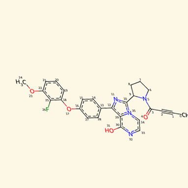 CC#CC(=O)N1CCCC1c1nc(-c2ccc(Oc3cccc(OC)c3F)cc2)c2c(O)nccn12